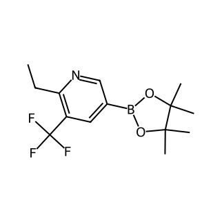 CCc1ncc(B2OC(C)(C)C(C)(C)O2)cc1C(F)(F)F